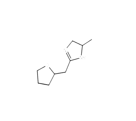 CC1CN=C(CC2CCCO2)N1